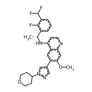 COc1cc2nccc(N[C@H](C)c3cccc(C(F)F)c3F)c2cc1-c1cnn(C2CCOCC2)c1